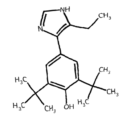 CCc1[nH]cnc1-c1cc(C(C)(C)C)c(O)c(C(C)(C)C)c1